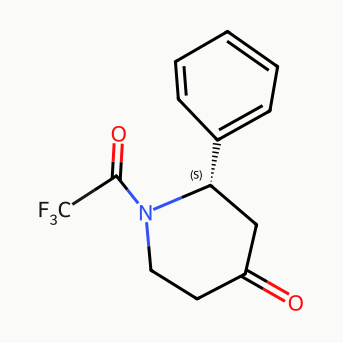 O=C1CCN(C(=O)C(F)(F)F)[C@H](c2ccccc2)C1